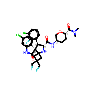 CN(C)C(=O)[C@@H]1CC[C@@H](NC(=O)[C@@H]2NC3(CC(CF)(CF)C3)[C@@]3(C(=O)Nc4cc(Cl)ccc43)[C@H]2c2cccc(Cl)c2F)CO1